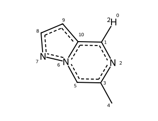 [2H]c1nc(C)cn2nccc12